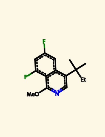 CCC(C)(C)c1cnc(OC)c2c(F)cc(F)cc12